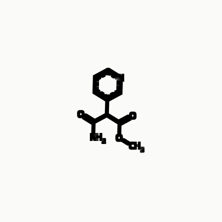 COC(=O)C(C(N)=O)c1cccnc1